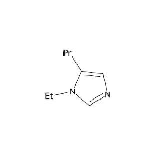 CCn1cncc1C(C)C